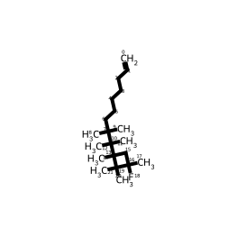 C=CCCCCCC(C)(C)C(C)(C)C1(C)CC(C)(F)C1(C)C